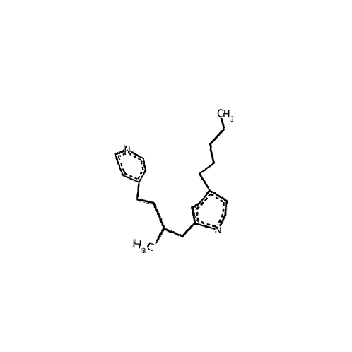 CCCCCc1ccnc(CC(C)CCc2ccncc2)c1